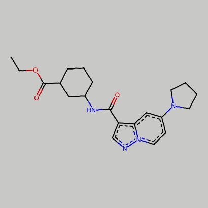 CCOC(=O)C1CCCC(NC(=O)c2cnn3ccc(N4CCCC4)cc23)C1